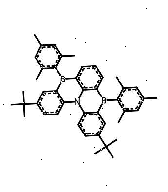 Cc1cc(C)c(B2c3cc(C(C)(C)C)ccc3N3c4ccc(C(C)(C)C)cc4B(c4c(C)cc(C)cc4C)c4cccc2c43)c(C)c1